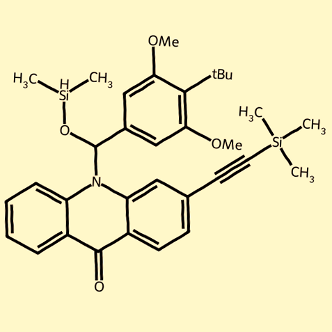 COc1cc(C(O[SiH](C)C)n2c3ccccc3c(=O)c3ccc(C#C[Si](C)(C)C)cc32)cc(OC)c1C(C)(C)C